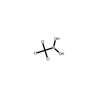 ON(O)C(Cl)(Cl)Cl